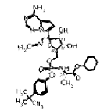 C=NC[C@@]1(c2ccc3c(N)ncnn23)O[C@H](COP(=O)(N[C@@H](C)C(=O)OC2CCCCC2)Oc2ccc(C(C)(C)C)cc2)[C@@H](O)[C@H]1O